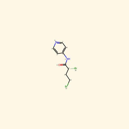 O=C(Nc1ccncc1)[C@H](Br)CCBr